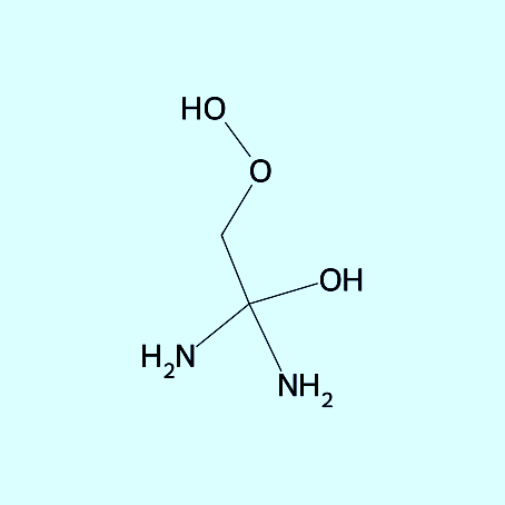 NC(N)(O)COO